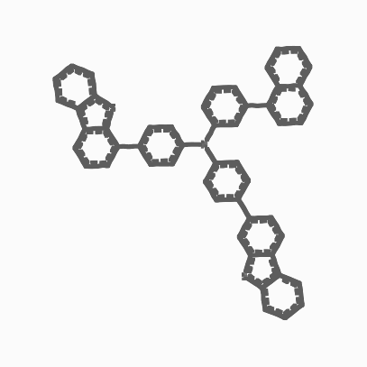 c1cc(-c2cccc3ccccc23)cc(N(c2ccc(-c3ccc4c(c3)sc3ccccc34)cc2)c2ccc(-c3cccc4c3sc3ccccc34)cc2)c1